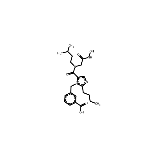 CCCCc1ncc(C(=O)N(CCC(C)C)CC(=O)NO)n1Cc1cccc(C(=O)O)c1